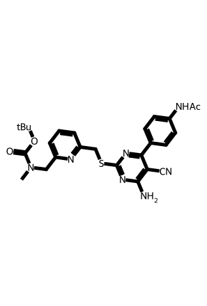 CC(=O)Nc1ccc(-c2nc(SCc3cccc(CN(C)C(=O)OC(C)(C)C)n3)nc(N)c2C#N)cc1